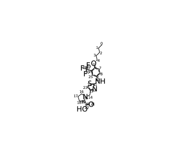 CCCCCOc1ccc(Nc2nc(CN3CCC[C@H]3C(=O)O)cs2)cc1C(F)(F)F